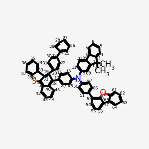 CC1(C)c2ccccc2-c2ccc(N(c3ccc(-c4c(-c5ccc(-c6ccccc6)cc5)c5c6ccccc6sc5c5ccccc45)cc3)c3ccc(-c4cccc5c4oc4ccccc45)cc3)cc21